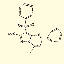 CSc1nn2c(C)cc(-c3ccccc3)nc2c1S(=O)(=O)c1ccccc1